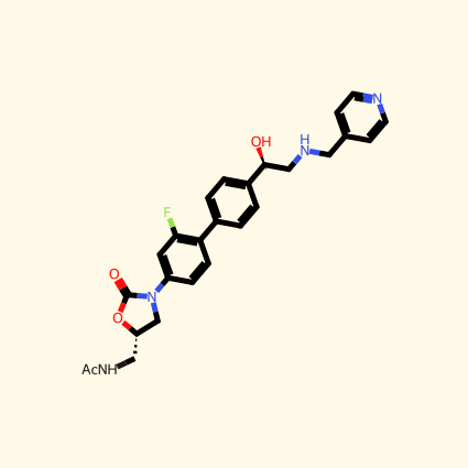 CC(=O)NC[C@H]1CN(c2ccc(-c3ccc([C@@H](O)CNCc4ccncc4)cc3)c(F)c2)C(=O)O1